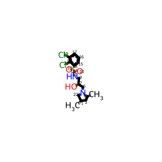 CC1CC(C)N(C[C@@H](O)CNS(=O)(=O)c2cccc(Cl)c2Cl)C1